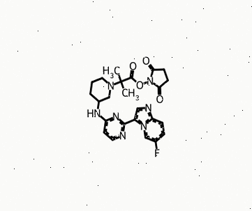 CC(C)(C(=O)ON1C(=O)CCC1=O)N1CCCC(Nc2ccnc(-c3cnc4ccc(F)cn34)n2)C1